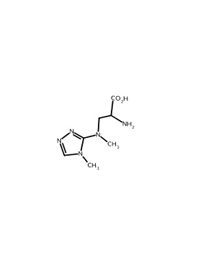 CN(CC(N)C(=O)O)c1nncn1C